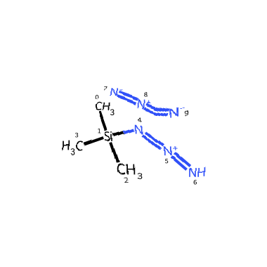 C[Si](C)(C)N=[N+]=N.[N-]=[N+]=[N-]